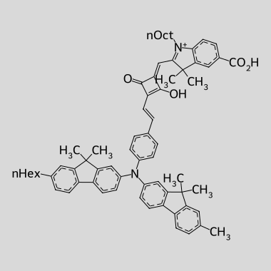 CCCCCCCC[N+]1=C(/C=C2/C(=O)C(/C=C/c3ccc(N(c4ccc5c(c4)C(C)(C)c4cc(C)ccc4-5)c4ccc5c(c4)C(C)(C)c4cc(CCCCCC)ccc4-5)cc3)=C2O)C(C)(C)c2cc(C(=O)O)ccc21